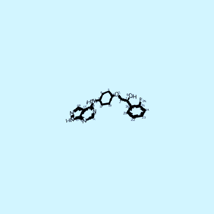 O[C@H](COC1CCC(Nc2ncnc3[nH]ncc23)CC1)c1ccccc1F